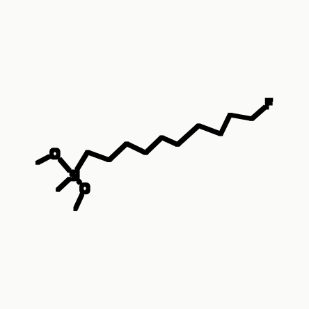 CO[Si](C)(CCCCCCCCCCF)OC